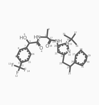 CC(NC(=O)C(O)c1ccc(C(F)(F)F)cc1)C(=O)Nc1cc(CC(C)c2ccccc2)nn1C(C)(C)C